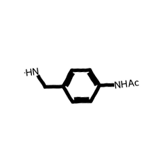 CC(=O)Nc1ccc(C[NH])cc1